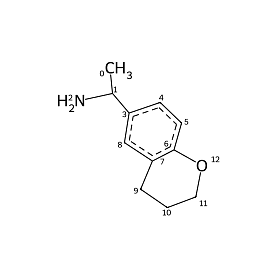 CC(N)c1ccc2c(c1)CCCO2